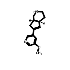 COc1cncc(C2=C[C@@H]3CCNC[C@@H]3C2)c1